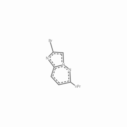 CCCc1ccc2nc(Br)cn2n1